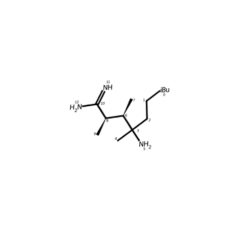 CCC(C)CCC(C)(N)[C@H](C)[C@@H](C)C(=N)N